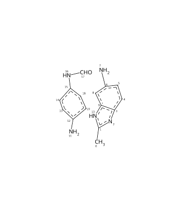 Cc1nc2ccc(N)cc2[nH]1.Nc1ccc(NC=O)cc1